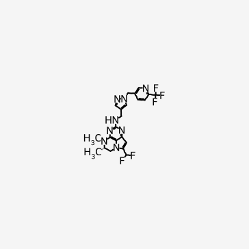 C[C@H]1Cn2c(C(F)F)cc3nc(NCc4cnn(Cc5ccc(C(F)(F)F)nc5)c4)nc(c32)N1C